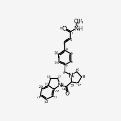 O=C(C=Cc1ccc(CN2CCCC2C(=O)N2CCc3ccccc32)cc1)NO